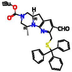 C[C@@H]1CN(C(=O)OC(C)(C)C)C[C@H]2Cc3cc(C=O)c(CSC(c4ccccc4)(c4ccccc4)c4ccccc4)nc3N21